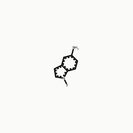 Nc1ccc2c(ccn2F)c1